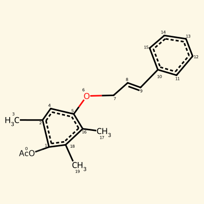 CC(=O)Oc1c(C)cc(OC/C=C/c2ccccc2)c(C)c1C